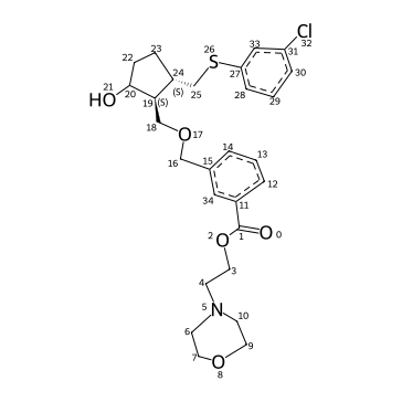 O=C(OCCN1CCOCC1)c1cccc(COC[C@H]2C(O)CC[C@@H]2CSc2cccc(Cl)c2)c1